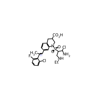 CCNCC(C(N)Cl)S(=O)(=O)N1CC(C(=O)O)Cc2ccc(/C=C(\C)c3c(F)cccc3Cl)cc21